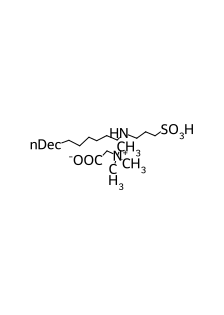 CCCCCCCCCCCCCCCCNCCCS(=O)(=O)O.C[N+](C)(C)CC(=O)[O-]